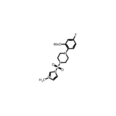 COc1cc(F)ccc1N1CCN(S(=O)(=O)n2cc[n+](C)c2)CC1